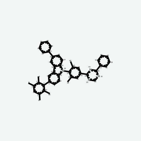 Cc1cc(C)c(C)c(-c2ccc3c(c2)c2cc(-c4ccccc4)ccc2n3-c2c(C)cc(-c3ncnc(-c4ccccc4)n3)cc2C)c1C